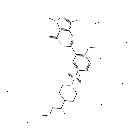 CCCc1nn(C)c2c(=O)[nH]c(-c3cc(S(=O)(=O)N4CCC([C@@H](O)CO[N+](=O)[O-])CC4)ccc3OCC)nc12